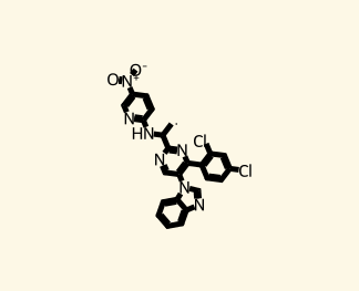 [CH2]C(Nc1ccc([N+](=O)[O-])cn1)c1ncc(-n2cnc3ccccc32)c(-c2ccc(Cl)cc2Cl)n1